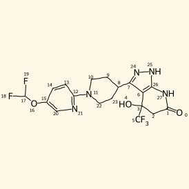 O=C1CC(O)(C(F)(F)F)c2c(C3CCN(c4ccc(OC(F)F)cn4)CC3)n[nH]c2N1